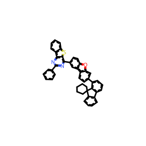 c1ccc(-c2nc(-c3ccc4oc5cc(-c6cccc7c6C6(CCCCC6)c6ccccc6-7)ccc5c4c3)c3sc4ccccc4c3n2)cc1